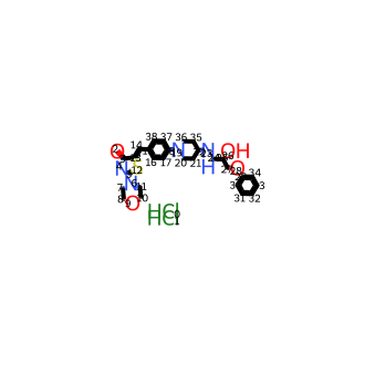 Cl.Cl.O=C1N=C(N2CCOCC2)SC1=Cc1ccc(N2CCC(NC[C@H](O)COc3ccccc3)CC2)cc1